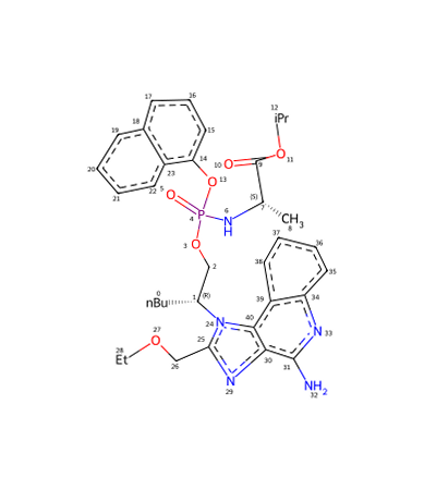 CCCC[C@H](COP(=O)(N[C@@H](C)C(=O)OC(C)C)Oc1cccc2ccccc12)n1c(COCC)nc2c(N)nc3ccccc3c21